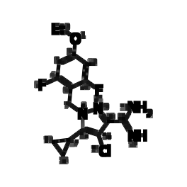 CCOc1cc(F)c(Cn2nc(C(=N)N)c(Cl)c2C2CC2)c(F)c1